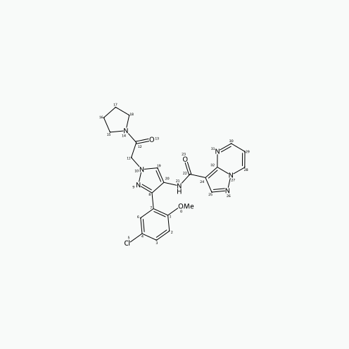 COc1ccc(Cl)cc1-c1nn(CC(=O)N2CCCC2)cc1NC(=O)c1cnn2cccnc12